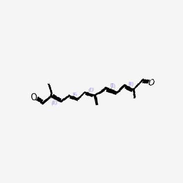 C\C(C=O)=C/C=C/C=C(C)/C=C/C=C(\C)C=O